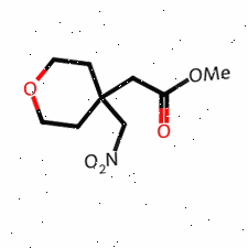 COC(=O)CC1(C[N+](=O)[O-])CCOCC1